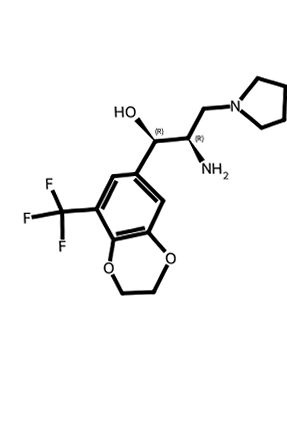 N[C@H](CN1CCCC1)[C@H](O)c1cc2c(c(C(F)(F)F)c1)OCCO2